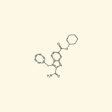 NC(=O)c1nc2cc(C(=O)OC3CCCCC3)ccc2n1Cc1ccccc1